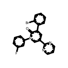 O=c1c(-c2ccccc2Br)cc(-c2ncccn2)cn1-c1cccc(F)c1